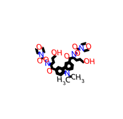 CC(C)n1c2ccc(C(=O)/C(CCCO)=N/OC(=O)N3CCOCC3)cc2c2cc(C(=O)/C(CCCO)=N/OC(=O)N3CCOCC3)ccc21